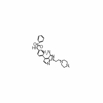 CN1CCN(CCn2nc(N)c3c(-c4ccc(NS(=O)(=O)c5ccccc5)cc4)ccnc32)CC1